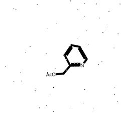 CC(=O)OCc1[c]cccn1